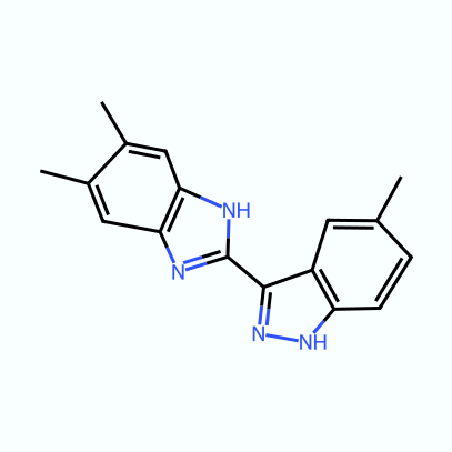 Cc1ccc2[nH]nc(-c3nc4cc(C)c(C)cc4[nH]3)c2c1